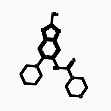 CC(C)(C)c1nc2cc(N3CCCCC3)c(NC(=S)N3CCOCC3)cc2s1